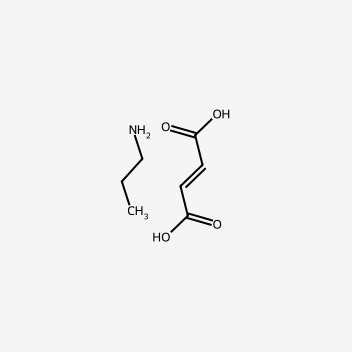 CCCN.O=C(O)/C=C/C(=O)O